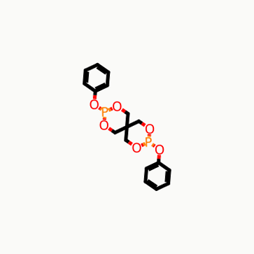 c1ccc(OP2OCC3(CO2)COP(Oc2ccccc2)OC3)cc1